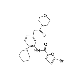 O=C(Nc1cc(CC(=O)N2CCOCC2)ccc1N1CCCCC1)c1ccc(Br)o1